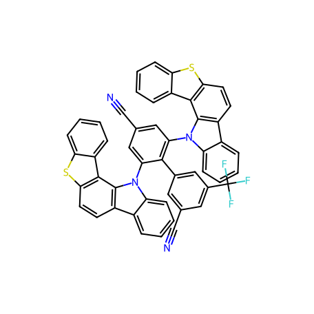 N#Cc1cc(-c2c(-n3c4ccccc4c4ccc5sc6ccccc6c5c43)cc(C#N)cc2-n2c3ccccc3c3ccc4sc5ccccc5c4c32)cc(C(F)(F)F)c1